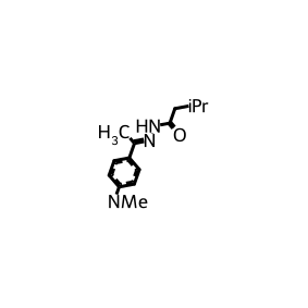 CNc1ccc(/C(C)=N/NC(=O)CC(C)C)cc1